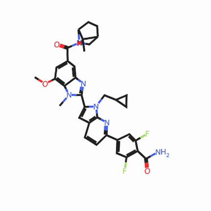 COc1cc(C(=O)N2CC3CCC2[C@@H]3C)cc2nc(-c3cc4ccc(-c5cc(F)c(C(N)=O)c(F)c5)nc4n3CC3CC3)n(C)c12